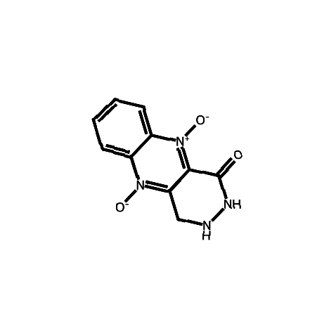 O=C1NNCc2c1[n+]([O-])c1ccccc1[n+]2[O-]